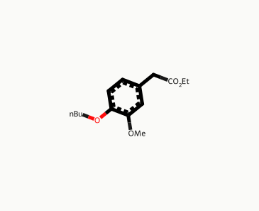 CCCCOc1ccc(CC(=O)OCC)cc1OC